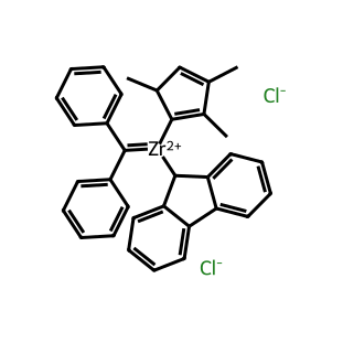 CC1=CC(C)[C]([Zr+2](=[C](c2ccccc2)c2ccccc2)[CH]2c3ccccc3-c3ccccc32)=C1C.[Cl-].[Cl-]